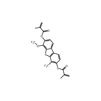 C=C(C)C(=O)Oc1ccc2c(sc3c(C(F)(F)F)c(OC(=O)C(=C)C)ccc32)c1OC(F)(F)F